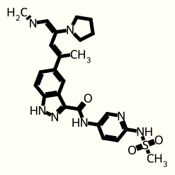 C=N/C=C(\C=C(/C)c1ccc2[nH]nc(C(=O)Nc3ccc(NS(C)(=O)=O)nc3)c2c1)N1CCCC1